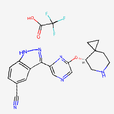 N#Cc1ccc2[nH]nc(-c3cncc(O[C@H]4CNCCC45CC5)n3)c2c1.O=C(O)C(F)(F)F